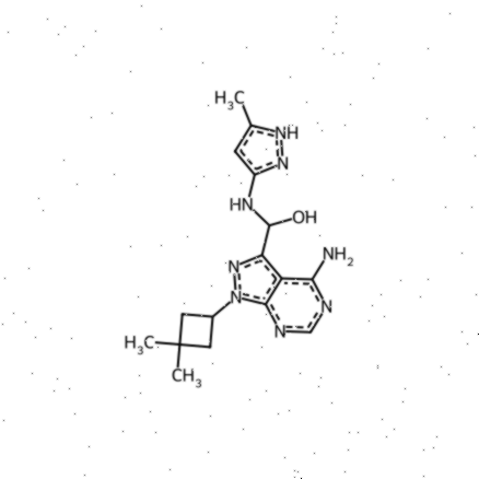 Cc1cc(NC(O)c2nn(C3CC(C)(C)C3)c3ncnc(N)c23)n[nH]1